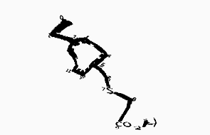 C=Cc1ccc(CSCC(=O)O)cc1